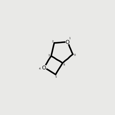 C1OCC2OCC12